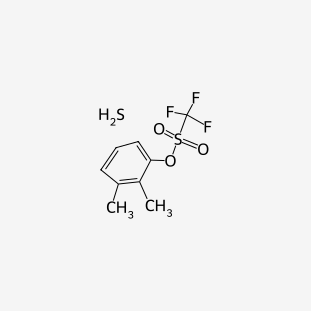 Cc1cccc(OS(=O)(=O)C(F)(F)F)c1C.S